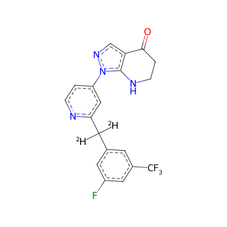 [2H]C([2H])(c1cc(F)cc(C(F)(F)F)c1)c1cc(-n2ncc3c2NCCC3=O)ccn1